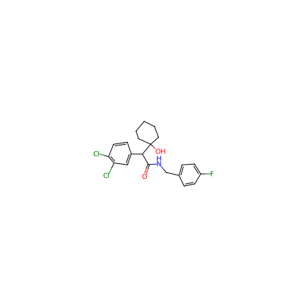 O=C(NCc1ccc(F)cc1)C(c1ccc(Cl)c(Cl)c1)C1(O)CCCCC1